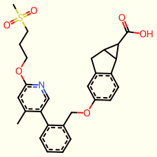 Cc1cc(OCCCS(C)(=O)=O)ncc1-c1ccccc1COc1ccc2c(c1)CC1C(C(=O)O)C21